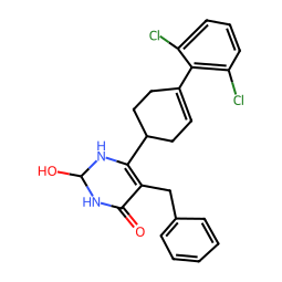 O=C1NC(O)NC(C2CC=C(c3c(Cl)cccc3Cl)CC2)=C1Cc1ccccc1